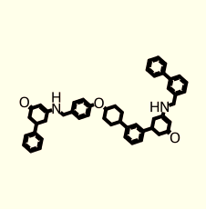 O=C1C=C(NCc2ccc(OC3CCC(c4cccc(C5CC(=O)C=C(NCc6cccc(-c7ccccc7)c6)C5)c4)CC3)cc2)CC(c2ccccc2)C1